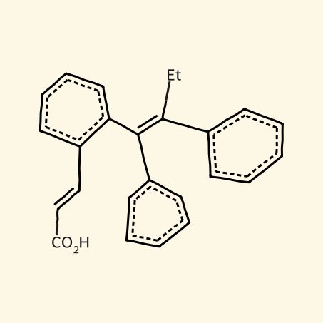 CCC(=C(c1ccccc1)c1ccccc1C=CC(=O)O)c1ccccc1